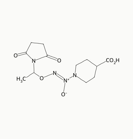 CC(O/N=[N+](\[O-])N1CCC(C(=O)O)CC1)N1C(=O)CCC1=O